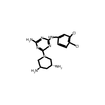 Nc1nc(Nc2ccc(Cl)c(Cl)c2)nc(N2C[C@H](N)C[C@@H](N)C2)n1